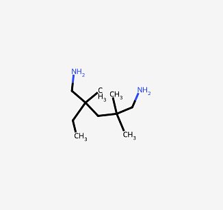 CCC(C)(CN)CC(C)(C)CN